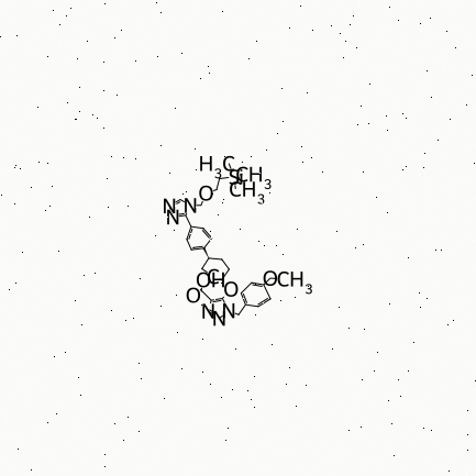 COc1ccc(Cn2nnc(C(=O)O)c2O[C@H]2CC[C@H](c3ccc(-c4nncn4COCC[Si](C)(C)C)cc3)CC2)cc1